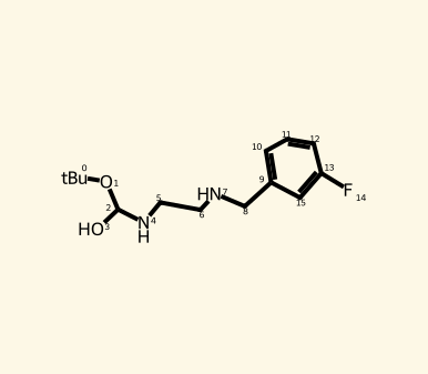 CC(C)(C)OC(O)NCCNCc1cccc(F)c1